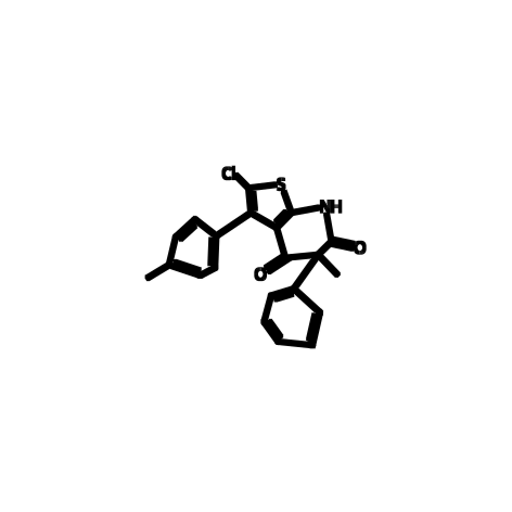 Cc1ccc(-c2c(Cl)sc3c2C(=O)C(C)(c2ccccc2)C(=O)N3)cc1